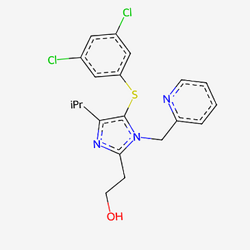 CC(C)c1nc(CCO)n(Cc2ccccn2)c1Sc1cc(Cl)cc(Cl)c1